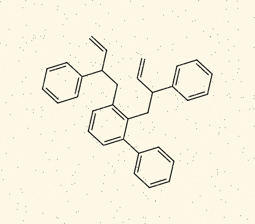 C=CC(Cc1cccc(-c2ccccc2)c1CC(C=C)c1ccccc1)c1ccccc1